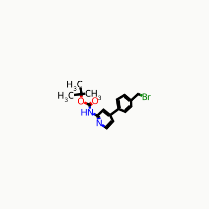 CC(C)(C)OC(=O)Nc1cc(-c2ccc(CBr)cc2)ccn1